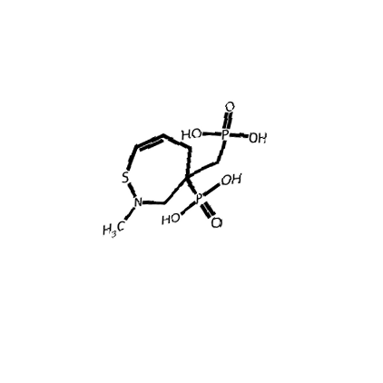 CN1CC(CP(=O)(O)O)(P(=O)(O)O)CC=CS1